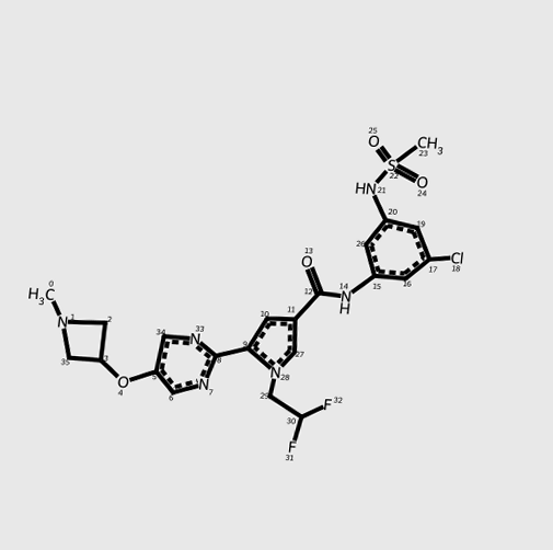 CN1CC(Oc2cnc(-c3cc(C(=O)Nc4cc(Cl)cc(NS(C)(=O)=O)c4)cn3CC(F)F)nc2)C1